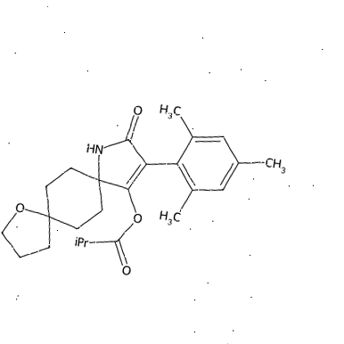 Cc1cc(C)c(C2=C(OC(=O)C(C)C)C3(CCC4(CCCO4)CC3)NC2=O)c(C)c1